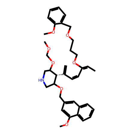 C=C(/C=C\C(=C/C)OCCCOCc1ccccc1OC)[C@H]1C(OCOC)CNCC1OCc1cc(OC)c2ccccc2c1